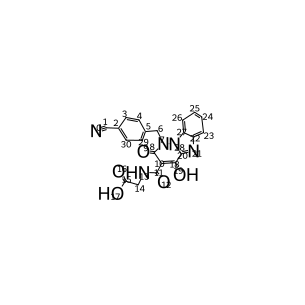 N#Cc1ccc(Cn2c(=O)c(C(=O)NCC(=O)O)c(O)c3nc4ccccc4n32)cc1